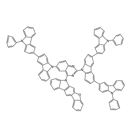 c1ccc(-n2c3ccccc3c3cc(-c4ccc5c(c4)c4ccccc4n5-c4ccc5nc(-n6c7ccc(-c8ccc9c(c8)c8ccccc8n9-c8ccccc8)cc7c7cc(-c8ccc9c(c8)c8ccccc8n9-c8ccccc8)ccc76)nc(-n6c7ccccc7c7cc8c(cc76)oc6ccccc68)c5c4)ccc32)cc1